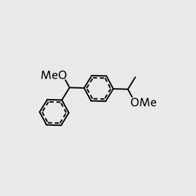 COC(C)c1ccc(C(OC)c2ccccc2)cc1